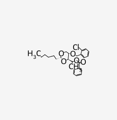 CCCCCC[C@@H]1OC[C@H](OCc2ccccc2Cl)[C@@H](C(C)OC(=O)c2ccccc2)O1